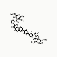 COC(=O)N[C@H](C(=O)N1CCC[C@H]1c1ncc(-c2ccc(-c3ccc4c(ccc5[nH]c([C@@H]6CCCN6C(=O)[C@@H](NC(=O)OC)[C@@H](C)OC)nc54)c3)cc2)[nH]1)[C@H](C)OC